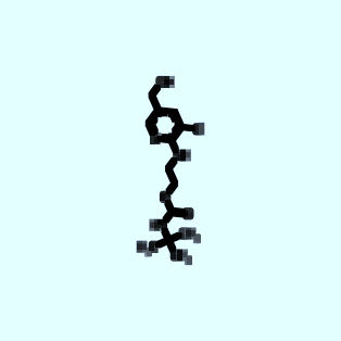 CC(C)(C)NC(=O)OCCNc1ncc(CO)cc1Cl